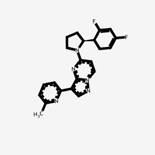 Cc1cccc(-c2cnn3ccc(N4CCC[C@H]4C4CC=C(F)C=C4F)nc23)n1